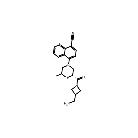 CC1CN(c2ccc(C#N)c3ncccc23)C[C@H](C(=O)N2CC(CN)C2)O1